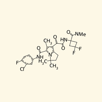 CNC(=O)C1(NC(=O)C(=O)c2c(C)c(C(=O)Nc3ccc(F)c(Cl)c3)n3c2CCC3(C)C)CC(F)(F)C1